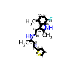 C=C(/C=C/c1cccs1)NCCc1c(C)[nH]c2c(F)ccc(C)c12